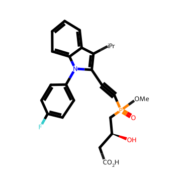 COP(=O)(C#Cc1c(C(C)C)c2ccccc2n1-c1ccc(F)cc1)C[C@@H](O)CC(=O)O